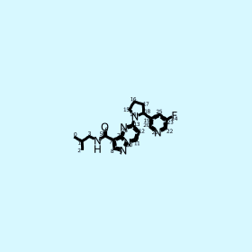 CC(C)CNC(=O)c1cnn2ccc(N3CCCC3c3cncc(F)c3)nc12